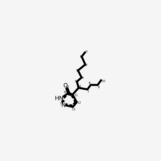 CCCCCCC(CCCC)c1ccn[nH]c1=O